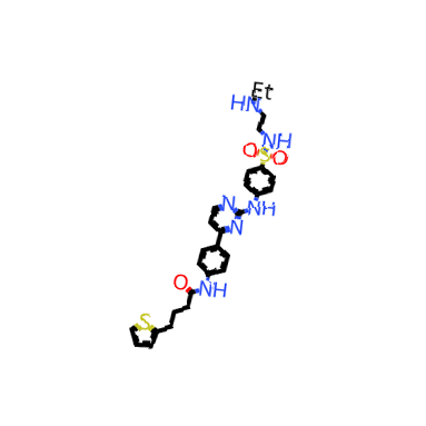 CCNCCNS(=O)(=O)c1ccc(Nc2nccc(-c3ccc(NC(=O)CCCc4cccs4)cc3)n2)cc1